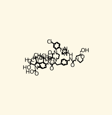 CC(C)(C)c1c(NC(=O)C(Cc2ccc(NC(=O)N3CCO[C@@H](CO)C3)cc2)N2CCN(c3cc(Cl)ccc3-n3cnnn3)C(=O)C2=O)ccc2c1c(C(C)(C)C)c(C(=O)O)n2C(=O)O